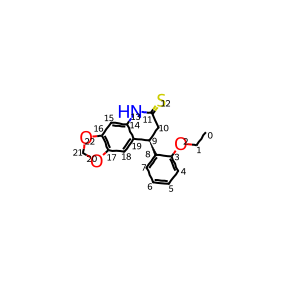 CCOc1ccccc1[C@@H]1CC(=S)Nc2cc3c(cc21)OCO3